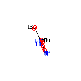 CC(C)(C)OC(=O)CCCCCCCCCCCCCCCCC(=O)NC(CC(=O)NCCOCCOCCOCCN=[N+]=[N-])C(=O)OC(C)(C)C